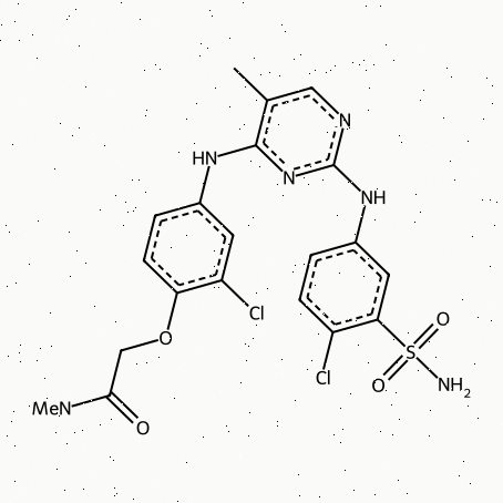 CNC(=O)COc1ccc(Nc2nc(Nc3ccc(Cl)c(S(N)(=O)=O)c3)ncc2C)cc1Cl